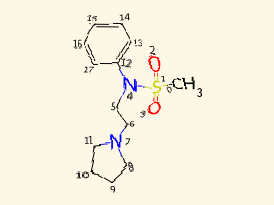 CS(=O)(=O)N(CCN1CCCC1)c1cc[c]cc1